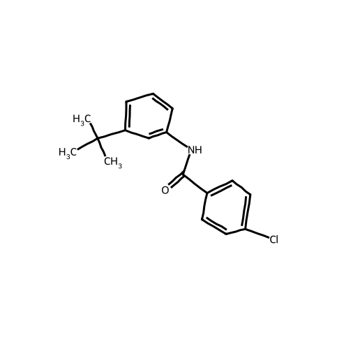 CC(C)(C)c1cccc(NC(=O)c2ccc(Cl)cc2)c1